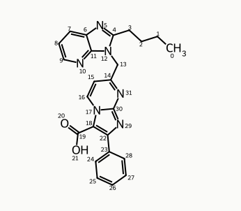 CCCCc1nc2cccnc2n1Cc1ccn2c(C(=O)O)c(-c3ccccc3)nc2n1